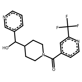 O=C(c1ccnc(C(F)(F)F)c1)N1CCC(C(O)c2cccnc2)CC1